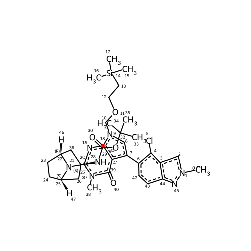 Cn1cc2c(Cl)c(-c3cn(COCC[Si](C)(C)C)c4nc(N5[C@@H]6CC[C@H]5C[C@H](NC(=O)OC(C)(C)C)C6)n(C)c(=O)c34)ccc2n1